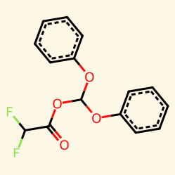 O=C(OC(Oc1ccccc1)Oc1ccccc1)C(F)F